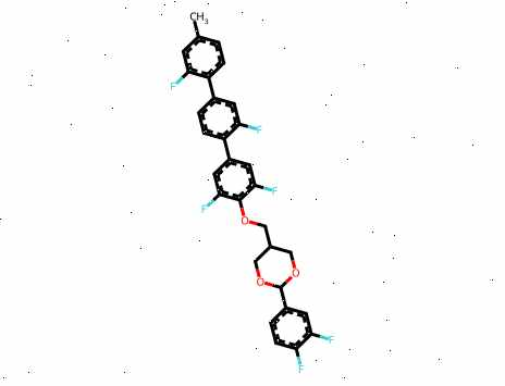 Cc1ccc(-c2ccc(-c3cc(F)c(OCC4COC(c5ccc(F)c(F)c5)OC4)c(F)c3)c(F)c2)c(F)c1